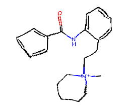 C[N+]1(CCc2ccccc2NC(=O)c2ccccc2)CCCCC1